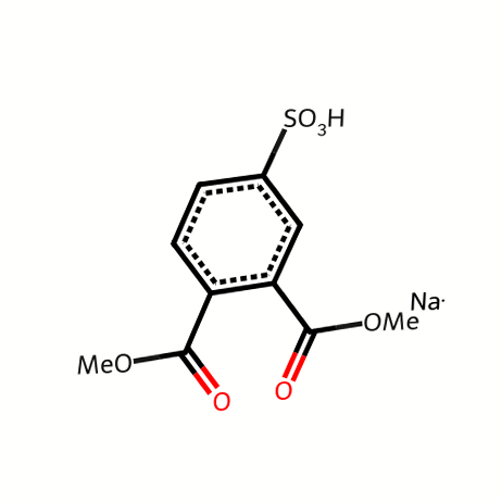 COC(=O)c1ccc(S(=O)(=O)O)cc1C(=O)OC.[Na]